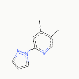 Cc1cnc(-n2cccn2)cc1C